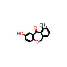 Cc1cccc2c1C(=O)c1cc(O)ccc1OC2